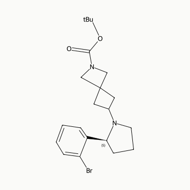 CC(C)(C)OC(=O)N1CC2(CC(N3CCC[C@H]3c3ccccc3Br)C2)C1